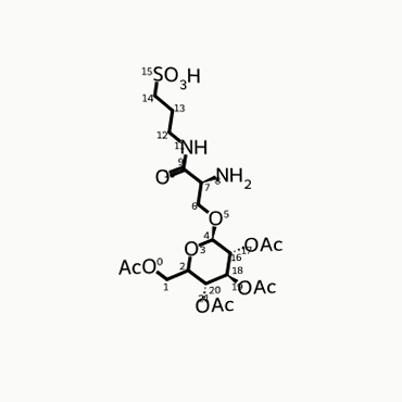 CC(=O)OCC1O[C@@H](OC[C@H](N)C(=O)NCCCS(=O)(=O)O)[C@H](OC(C)=O)[C@@H](OC(C)=O)[C@@H]1OC(C)=O